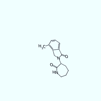 Cc1cccc2c1CN(C1CCCCNC1=O)C2=O